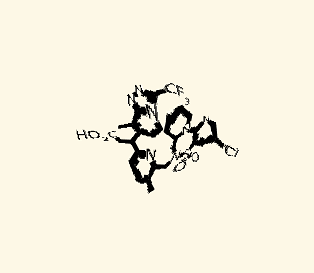 Cc1ccc(C(CC(=O)O)c2ccn3c(C(F)(F)F)nnc3c2C)nc1CN1CC2CCCCN2c2ncc(Cl)cc2S1(=O)=O